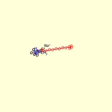 CCOCc1nc2c(NC(c3ccccc3)(c3ccccc3)c3ccccc3)nc3ccccc3c2n1CC(C)(C)OCCOCCOCCOCCOCCOCCOCCOCCOS(=O)(=O)[O-].[Na+]